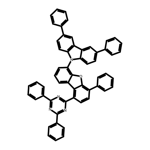 c1ccc(-c2ccc3c(c2)c2cc(-c4ccccc4)ccc2n3-c2cccc3c2oc2c(-c4ccccc4)ccc(-c4nc(-c5ccccc5)nc(-c5ccccc5)n4)c23)cc1